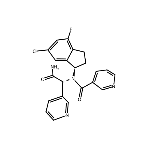 NC(=O)[C@@H](c1cccnc1)N(C(=O)c1cccnc1)[C@@H]1CCc2c(F)cc(Cl)cc21